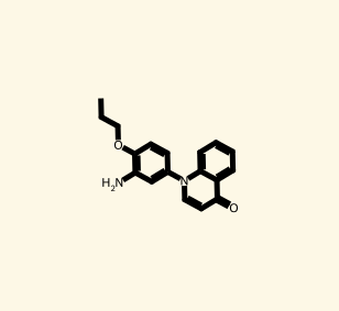 CCCOc1ccc(-n2ccc(=O)c3ccccc32)cc1N